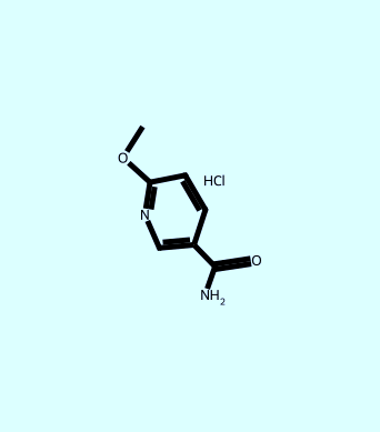 COc1ccc(C(N)=O)cn1.Cl